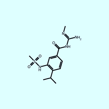 CN=C(N)NC(=O)c1ccc(C(C)C)c(NS(C)(=O)=O)c1